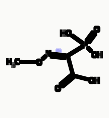 CO/N=C(\C(=O)O)P(=O)(O)O